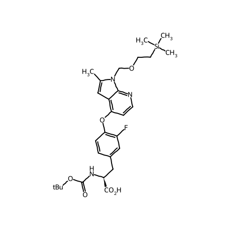 Cc1cc2c(Oc3ccc(C[C@H](NC(=O)OC(C)(C)C)C(=O)O)cc3F)ccnc2n1COCC[Si](C)(C)C